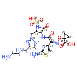 NCCNCc1cnn(CC2C(NC(=O)/C(=N\OC3(C(=O)O)CC3)c3csc(N)n3)C(=O)N2S(=O)(=O)O)n1